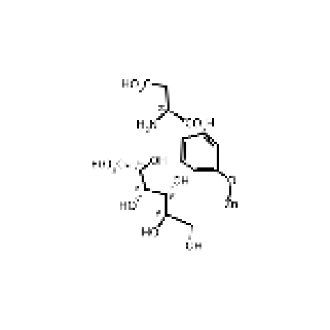 CCOC(=O)[C@H](O)[C@@H](O)[C@H](O)[C@H](O)CO.N[C@@H](CC(=O)O)C(=O)O.[Zn][O]c1ccccc1